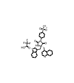 O=C(O)C(F)(F)F.O=C1N[C@](Cc2ccnc3ccccc23)(Cc2csc3ccccc23)C(=O)N1c1ccc(S(=O)(=O)C(F)(F)F)cc1